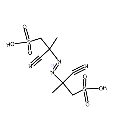 CC(C#N)(CS(=O)(=O)O)/N=N/C(C)(C#N)CS(=O)(=O)O